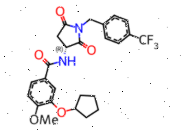 COc1ccc(C(=O)N[C@@H]2CC(=O)N(Cc3ccc(C(F)(F)F)cc3)C2=O)cc1OC1CCCC1